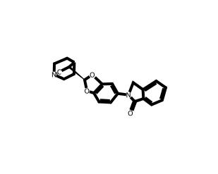 O=C1c2ccccc2CN1c1ccc2c(c1)O[C@H](C1CN3CCC1CC3)O2